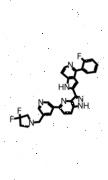 Fc1ccccc1-c1nccc2[nH]c(-c3n[nH]c4ccc(-c5cncc(CN6CCC(F)(F)C6)c5)nc34)cc12